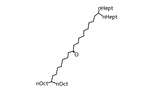 CCCCCCCCC(CCCCCCCC)CCCCCCCC(=O)CCCCCCCCCC(CCCCCCC)CCCCCCC